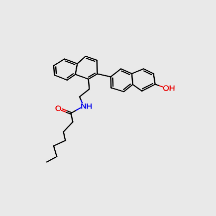 CCCCCCC(=O)NCCc1c(-c2ccc3cc(O)ccc3c2)ccc2ccccc12